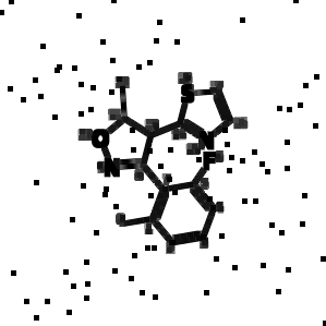 Cc1cccc(F)c1C1=NOC(C)C1c1nccs1